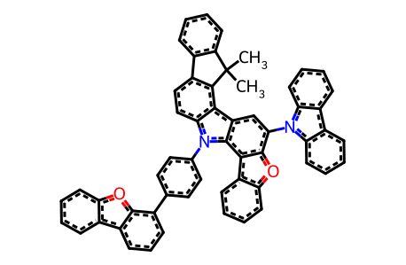 CC1(C)c2ccccc2-c2ccc3c(c21)c1cc(-n2c4ccccc4c4ccccc42)c2oc4ccccc4c2c1n3-c1ccc(-c2cccc3c2oc2ccccc23)cc1